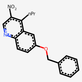 [CH2]CCc1c([N+](=O)[O-])cnc2ccc(OCc3ccccc3)cc12